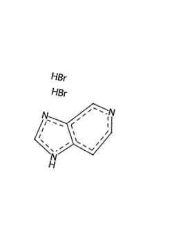 Br.Br.c1cc2[nH]cnc2cn1